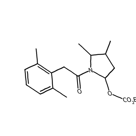 CCOC(=O)OC1CC(C)C(C)N1C(=O)Cc1c(C)cccc1C